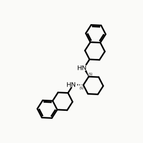 c1ccc2c(c1)CCC(N[C@H]1CCCC[C@@H]1NC1CCc3ccccc3C1)C2